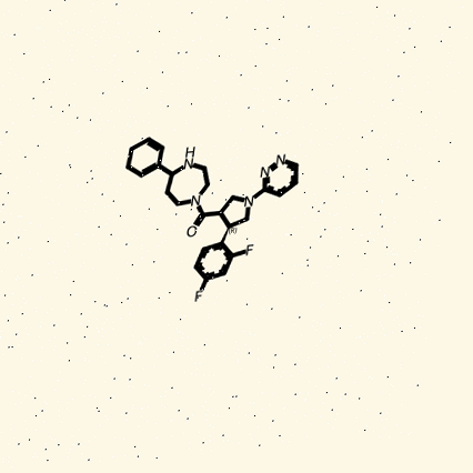 O=C(C1CN(c2cccnn2)C[C@H]1c1ccc(F)cc1F)N1CCNC(C2=CCCC=C2)CC1